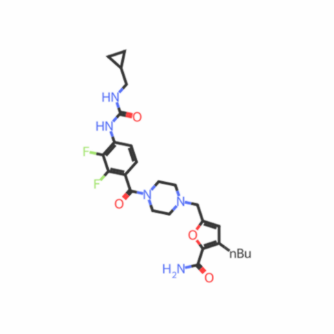 CCCCc1cc(CN2CCN(C(=O)c3ccc(NC(=O)NCC4CC4)c(F)c3F)CC2)oc1C(N)=O